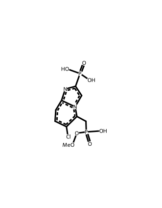 COOP(=O)(O)Cc1c(Cl)ccc2nc(P(=O)(O)O)cn12